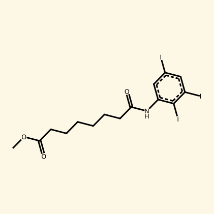 COC(=O)CCCCCCC(=O)Nc1cc(I)cc(I)c1I